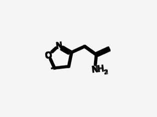 C=C(N)CC1=NO[CH]C1